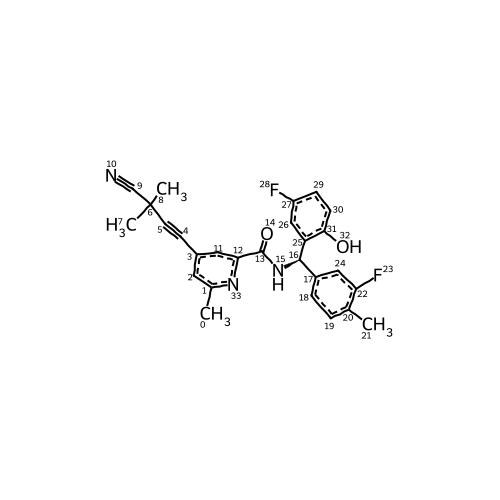 Cc1cc(C#CC(C)(C)C#N)cc(C(=O)N[C@H](c2ccc(C)c(F)c2)c2cc(F)ccc2O)n1